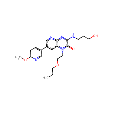 CCCOCCn1c(=O)c(NCCCO)nc2ncc(C3=CCC(OC)N=C3)cc21